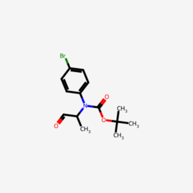 CC(C=O)N(C(=O)OC(C)(C)C)c1ccc(Br)cc1